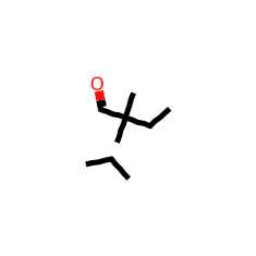 CCC.CCC(C)(C)C=O